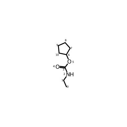 CCNC(=O)OC1CCCC1